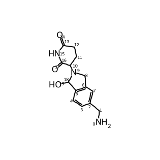 NCc1ccc2c(c1)CN(C1CCC(=O)NC1=O)C2O